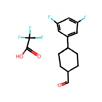 O=C(O)C(F)(F)F.O=CC1CCC(c2cc(F)cc(F)c2)CC1